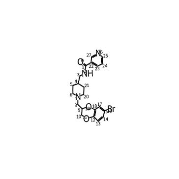 O=C(NCC1CCN(CC2COc3ccc(Br)cc3O2)CC1)c1cccnc1